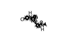 O=C(NC1CC1)c1cc(COc2nnc(Nc3ccc(Cl)cc3)c3ccoc23)ccn1